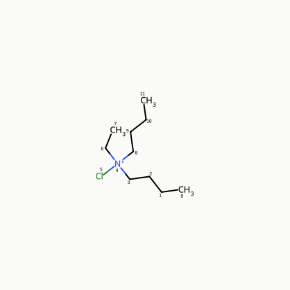 CCCC[N+](Cl)(CC)CCCC